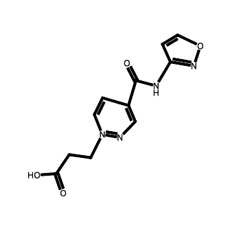 O=C(O)CC[n+]1ccc(C(=O)Nc2ccon2)cn1